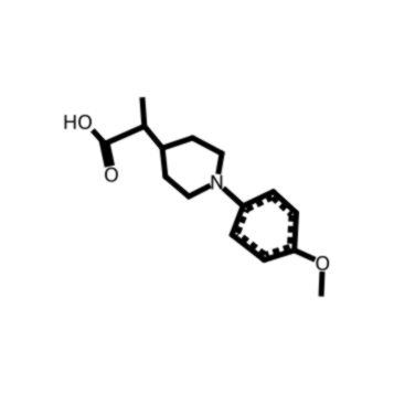 COc1ccc(N2CCC(C(C)C(=O)O)CC2)cc1